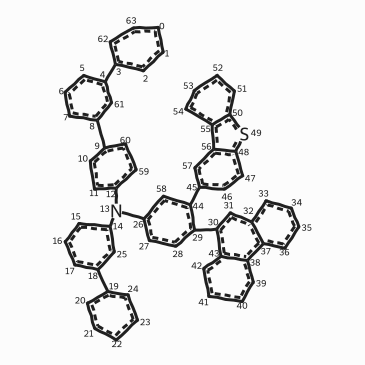 c1ccc(-c2cccc(-c3ccc(N(c4cccc(-c5ccccc5)c4)c4ccc(-c5cc6ccccc6c6ccccc56)c(-c5ccc6sc7ccccc7c6c5)c4)cc3)c2)cc1